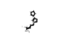 CC(C)=CCCN1CC[C@@H]([C]2CCCC2)C1